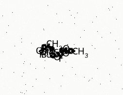 CCC(C)C(=O)Oc1cccc(C(C)c2ccn(-c3cccc(Oc4c(F)cc5c(ccn5S(=O)(=O)c5ccc(C)cc5)c4SC)c3)n2)c1F